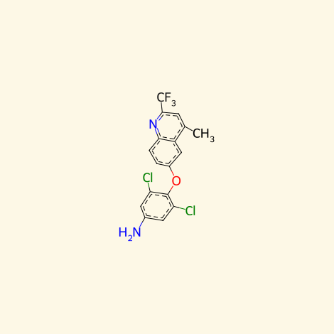 Cc1cc(C(F)(F)F)nc2ccc(Oc3c(Cl)cc(N)cc3Cl)cc12